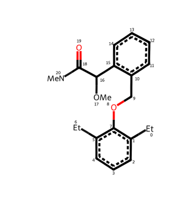 CCc1cccc(CC)c1OCc1ccccc1C(OC)C(=O)NC